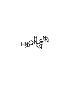 Cc1cc2cc(Nc3ccnc4cc(-c5nccn5C)sc34)ccc2[nH]1